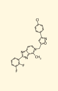 Cc1c2nc(-c3cccc(F)c3F)nc-2ccn1Cc1cc(-c2ccc(Cl)cc2)no1